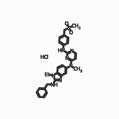 CCn1c(NCc2ccccc2)nc2cc(N(C)c3ccnc(Nc4ccc(CS(C)(=O)=O)cc4)n3)ccc21.Cl